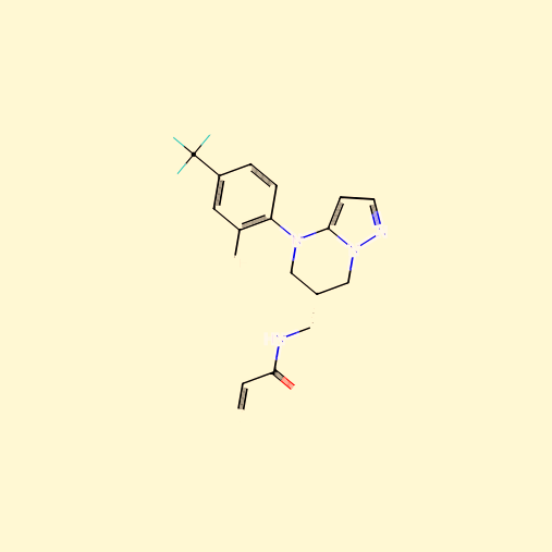 C=CC(=O)NC[C@@H]1CN(c2ccc(C(F)(F)F)cc2C)c2ccnn2C1